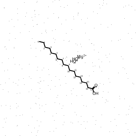 CCCCCCCCCCCCCCCCCC(=O)O.[Mg+2].[OH-].[OH-]